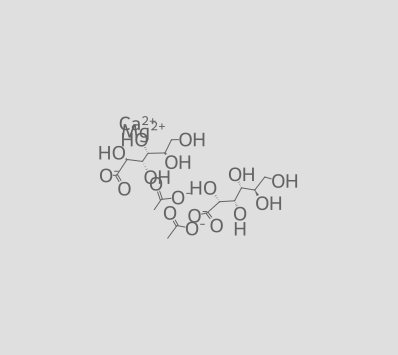 CC(=O)[O-].CC(=O)[O-].O=C([O-])[C@H](O)[C@@H](O)[C@H](O)[C@H](O)CO.O=C([O-])[C@H](O)[C@@H](O)[C@H](O)[C@H](O)CO.[Ca+2].[Mg+2]